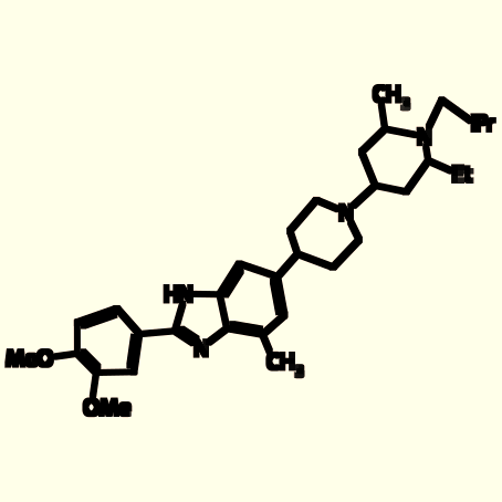 CCC1CC(N2CCC(c3cc(C)c4nc(-c5ccc(OC)c(OC)c5)[nH]c4c3)CC2)CC(C)N1CC(C)C